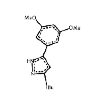 COc1cc(OC)cc(-c2cc(C(C)(C)C)n[nH]2)c1